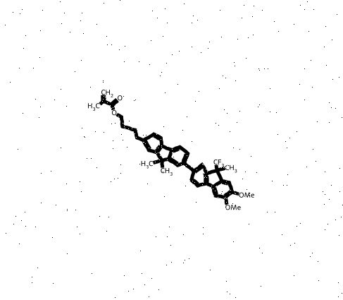 C=C(C)C(=O)OCCCCc1ccc2c(c1)C(C)(C)c1cc(-c3ccc4c(c3)C(C)(C(F)(F)F)c3cc(OC)c(OC)cc3-4)ccc1-2